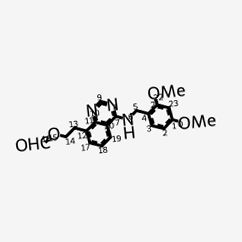 COc1ccc(CNc2ncnc3c(CCOC=O)cccc23)c(OC)c1